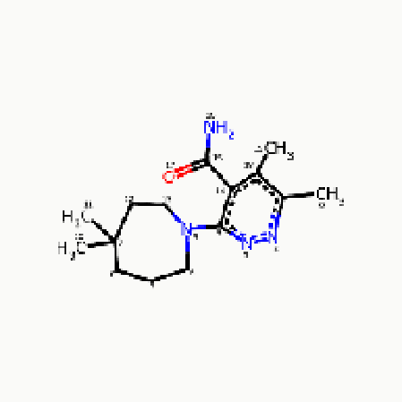 Cc1nnc(N2CCCC(C)(C)CC2)c(C(N)=O)c1C